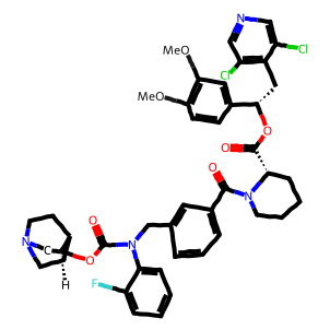 COc1ccc([C@H](Cc2c(Cl)cncc2Cl)OC(=O)[C@@H]2CCCCN2C(=O)c2cccc(CN(C(=O)O[C@H]3CN4CCC3CC4)c3ccccc3F)c2)cc1OC